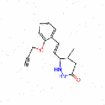 C#CCOc1ccccc1/C=C/C1NNC(=O)CC1C